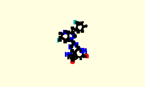 CC12CC(=O)Nc3nc(-n4nc(Cc5ccccc5F)c5ncc(F)cc54)nc(c31)NC2=O